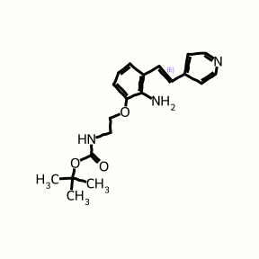 CC(C)(C)OC(=O)NCCOc1cccc(/C=C/c2ccncc2)c1N